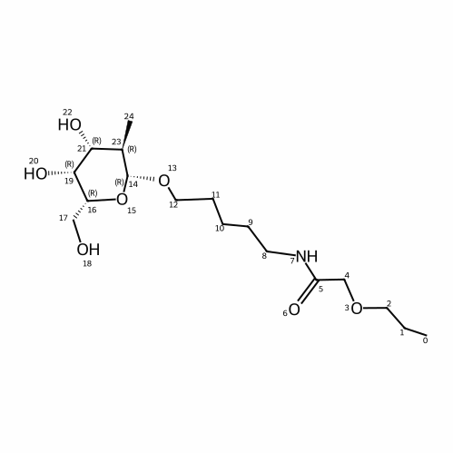 CCCOCC(=O)NCCCCCO[C@@H]1O[C@H](CO)[C@H](O)[C@H](O)[C@H]1C